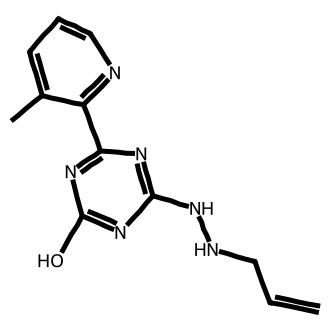 C=CCNNc1nc(O)nc(-c2ncccc2C)n1